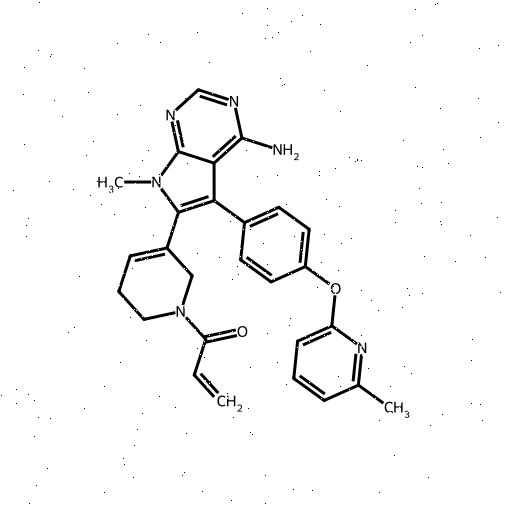 C=CC(=O)N1CCC=C(c2c(-c3ccc(Oc4cccc(C)n4)cc3)c3c(N)ncnc3n2C)C1